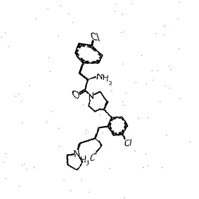 CC[C@H](Cc1cc(Cl)ccc1C1CCN(C(=O)[C@H](N)Cc2ccc(Cl)cc2)CC1)CN1CCCC1